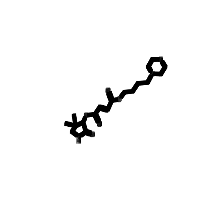 CC1(C)CNC(=O)C1OC(=O)/C=C/C(=O)OCCCCN1CCOCC1